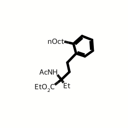 CCCCCCCCc1ccccc1CCC(CC)(NC(C)=O)C(=O)OCC